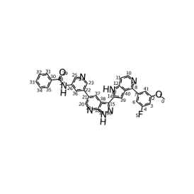 COc1cc(F)cc(-c2nccc3[nH]c(-c4n[nH]c5ncc(-c6cncc(NC(=O)c7ccccc7)c6)cc45)cc23)c1